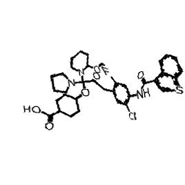 COC1CCCCN1C(OC1CCC(C(=O)O)CC1)(C(=O)Cc1cc(Cl)c(NC(=O)c2csc3ccccc23)cc1F)N1CCCC1